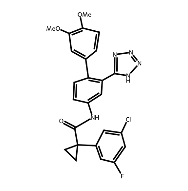 COc1ccc(-c2ccc(NC(=O)C3(c4cc(F)cc(Cl)c4)CC3)cc2-c2nnn[nH]2)cc1OC